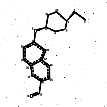 CC[C@H]1CC[C@@H](Oc2ccc3nc(C=O)ccc3c2)CC1